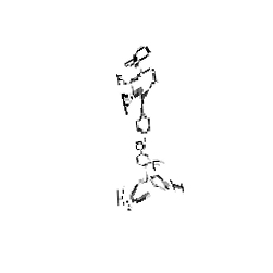 CC(O)c1ccc(OCc2ccc(-c3ccc(C4CO4)c(F)c3F)cc2)cc1F